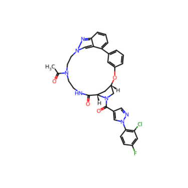 CC(=O)N1CCNC(=O)[C@@H]2C[C@@H](CN2C(=O)c2cnn(-c3ccc(F)cc3Cl)c2)Oc2cccc(c2)-c2cccc3nn(cc23)CC1